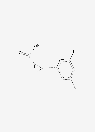 O=C(O)C1C[C@H]1c1cc(F)cc(F)c1